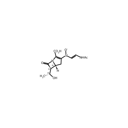 CC(=O)NC=C[S+]([O-])C1=C(C(=O)O)N2C(=O)[C@H]([C@@H](C)O)[C@H]2C1